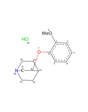 COc1ccccc1OC1CN2CCC1CC2.Cl